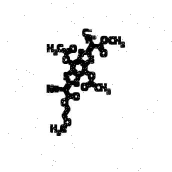 [C-]#[N+]C(C(=O)OC)=C1Sc2c(OC(C)=O)c3c(c(OC(C)=O)c2S1)SC(=C(C#N)C(=O)OCCOC)S3